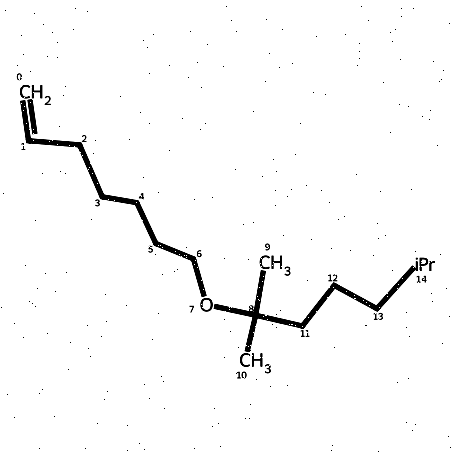 C=CCCCCCOC(C)(C)CCCC(C)C